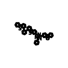 c1ccc(-c2nc(-c3ccc4c(c3)oc3ccccc34)nc(-c3ccc4c(c3)sc3c(-c5ccccc5-c5cccc6c5sc5ccccc56)cccc34)n2)cc1